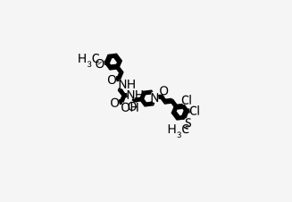 COc1cccc(CC(=O)NCC(NC(=O)C2CCN(C(=O)C=Cc3ccc(SC)c(Cl)c3Cl)CC2)C(=O)O)c1